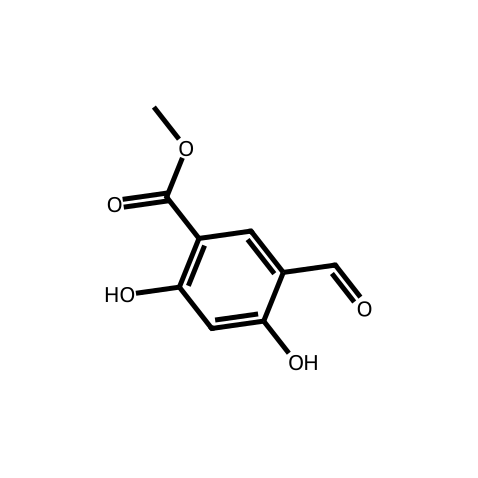 COC(=O)c1cc(C=O)c(O)cc1O